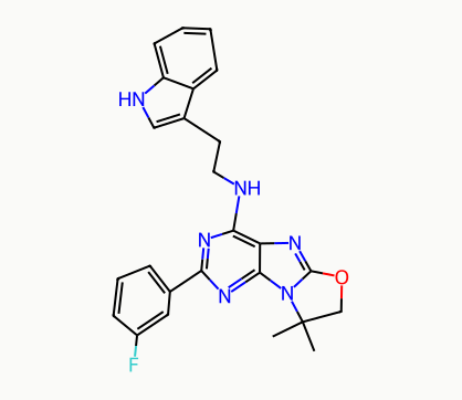 CC1(C)COc2nc3c(NCCc4c[nH]c5ccccc45)nc(-c4cccc(F)c4)nc3n21